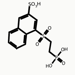 O=P(O)(O)CCS(=O)(=O)c1cc(S(=O)(=O)O)cc2cc[c]cc12